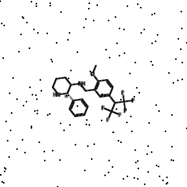 COc1ccc(C(C(F)(F)F)C(F)(F)F)cc1CNC1CCCN[C@H]1c1ccccc1